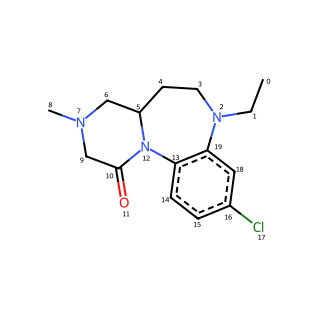 CCN1CCC2CN(C)CC(=O)N2c2ccc(Cl)cc21